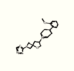 COc1ccccc1C1CCN(C2COC3(C2)CN(c2nnco2)C3)CC1